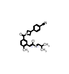 Cc1ccc(C(=O)N2CC(c3ccc(C#N)cc3)C2)cc1/C=C(Cl)/N=C/C(C)C